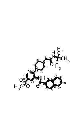 CC(C)(C)NC(=O)CC1CCN(c2ncc(S(C)(=O)=O)cc2NC(=O)c2ccc3ccccc3c2)CC1